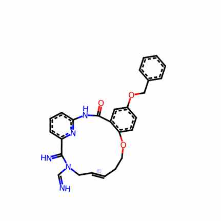 N=CN1C/C=C/CCOc2ccc(OCc3ccccc3)cc2C(=O)Nc2cccc(n2)C1=N